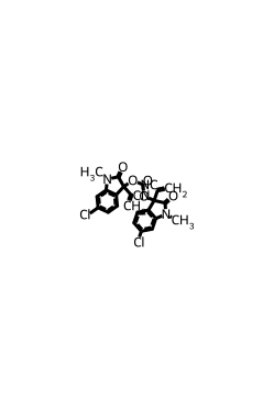 C=C(C#N)C1(OC(=O)OC2(C(=C)C#N)C(=O)N(C)c3cc(Cl)ccc32)C(=O)N(C)c2cc(Cl)ccc21